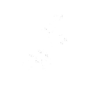 Cn1ncc(-c2cc(C(=O)O)cn(C)c2=O)c1OCCN1CC2CCC(n3c(N)nc4ccccc43)(C2)C1